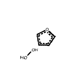 OO.c1ccoc1